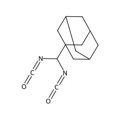 O=C=NC(N=C=O)C12CC3CC(CC(C3)C1)C2